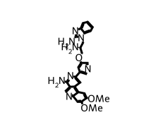 COc1cc2ncc3c(N)nc(-c4cncc(OC[C@H](N)Cn5c(N)nc6ccccc65)c4)cc3c2cc1OC